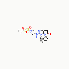 C[C@H]1CCC[C@H]1n1c(=O)ccc2cnc(NC3CCN(S(=O)(=O)CS(C)(=O)=O)CC3)nc21